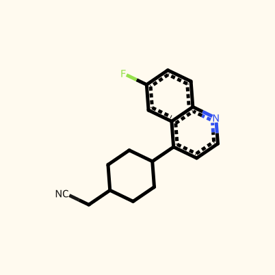 N#CCC1CCC(c2ccnc3ccc(F)cc23)CC1